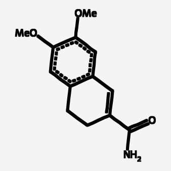 COc1cc2c(cc1OC)CCC(C(N)=O)=C2